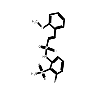 COc1ccccc1/C=C/S(=O)(=O)Nc1cccc(F)c1S(N)(=O)=O